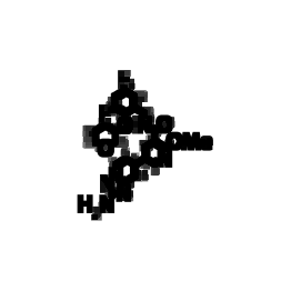 COc1ncc(-c2ccn3nc(N)nc3c2)cc1C(=O)NCc1cc(F)cc(F)c1OC1CCCOC1